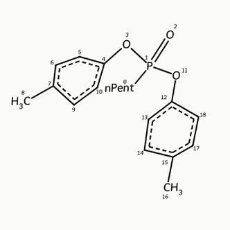 CCCCCP(=O)(Oc1ccc(C)cc1)Oc1ccc(C)cc1